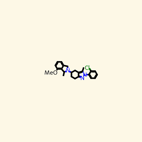 COc1cccc2c1C(C)N(C1CCc3nn(-c4ccccc4Cl)c(C)c3C1)C2